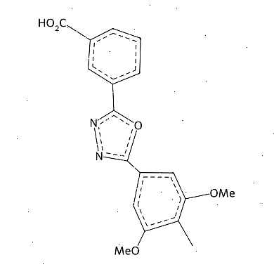 COc1cc(-c2nnc(-c3cccc(C(=O)O)c3)o2)cc(OC)c1C